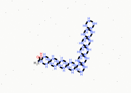 C1CNCCNCCNCCN1.C1CNCCNCCNCCN1.C1CNCCNCCNCCN1.C1CNCCNCCNCCN1.C1CNCCNCCNCCN1.C1CNCCNCCNCCN1.C1CNCCNCCNCCN1.C1CNCCNCCNCCN1.C1CNCCNCCNCCN1.C1CNCCNCCNCCN1.CCCC(=O)O